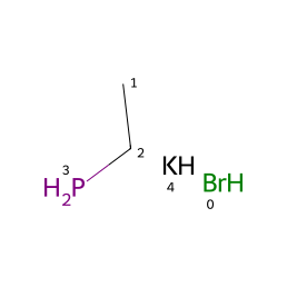 Br.CCP.[KH]